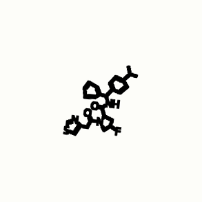 CC(C)c1ccc(C(NC(=O)C2CC(F)CN2C(=O)Cc2cscn2)c2ccccc2)cc1